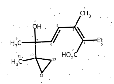 CCC(C(=O)O)=C(C)C=CC(C)(O)C1(C)CC1